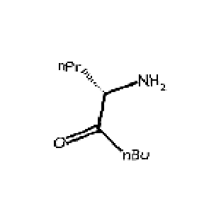 CCCCC(=O)[C@@H](N)CCC